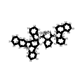 N=C(c1ccccc1C(=N)n1c2ccccc2c2c3c4cc5ccccc5cc4n4c5ccccc5c(cc21)c34)n1c2ccccc2c2c3ccccc3ccc21